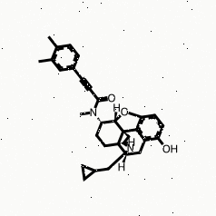 Cc1ccc(C#CC(=O)N(C)[C@H]2CC[C@H]3[C@H]4Cc5c(O)ccc6c5[C@@]3(CCN4CC3CC3)[C@H]2O6)cc1C